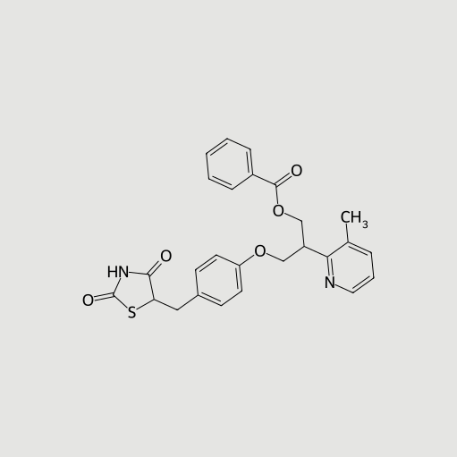 Cc1cccnc1C(COC(=O)c1ccccc1)COc1ccc(CC2SC(=O)NC2=O)cc1